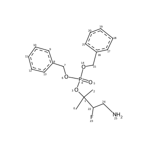 CC(C)(OP(=O)(OCc1ccccc1)OCc1ccccc1)C(F)CN